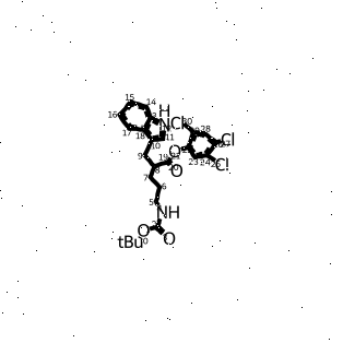 CC(C)(C)OC(=O)NCCCC(Cc1c[nH]c2ccccc12)C(=O)Oc1cc(Cl)c(Cl)cc1Cl